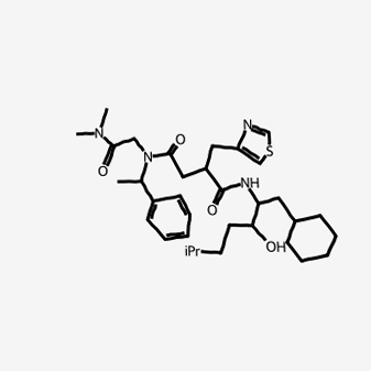 CC(C)CCC(O)C(CC1CCCCC1)NC(=O)C(CC(=O)N(CC(=O)N(C)C)C(C)c1ccccc1)Cc1cscn1